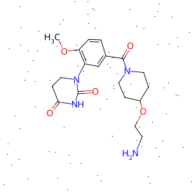 COc1ccc(C(=O)N2CCC(OCCN)CC2)cc1N1CCC(=O)NC1=O